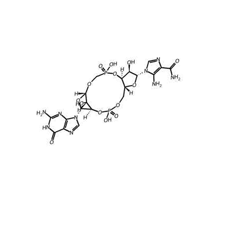 NC(=O)c1ncn([C@@H]2O[C@@H]3COP(=O)(O)O[C@@H]4[C@H](O)[C@@H](OCP(=O)(O)O[C@H]3[C@H]2O)O[C@H]4n2cnc3c(=O)[nH]c(N)nc32)c1N